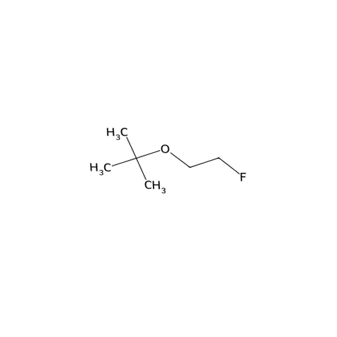 CC(C)(C)OCCF